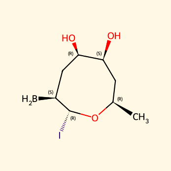 B[C@H]1C[C@@H](O)[C@@H](O)C[C@@H](C)O[C@@H]1I